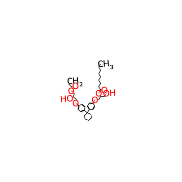 C=CC(=O)OCC(O)COc1ccc(C2(c3ccc(OCC(CO)OC(=O)CCCCCCCC)cc3)CCCCC2)cc1